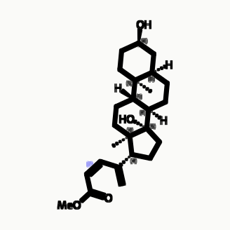 C=C(/C=C\C(=O)OC)[C@H]1CC[C@]2(O)[C@@H]3CC[C@@H]4C[C@H](O)CC[C@]4(C)[C@H]3CC[C@]12C